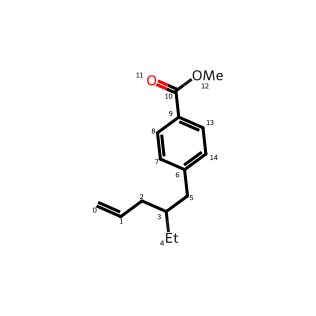 C=CCC(CC)Cc1ccc(C(=O)OC)cc1